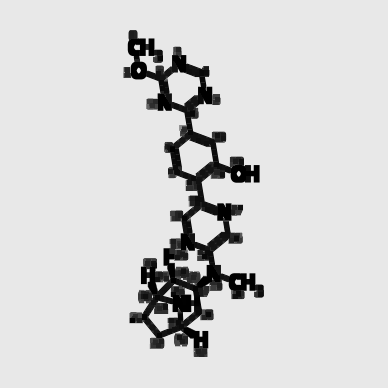 COc1ncnc(-c2ccc(-c3cnc(N(C)[C@H]4C[C@@H]5CC[C@@H](N5)[C@H]4F)cn3)c(O)c2)n1